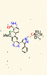 COc1cc2ncnc(-c3cn(CCO[Si](C)(C)C(C)(C)C)nc3-c3ccccc3)c2cc1-c1cccc(C(N)=O)c1F